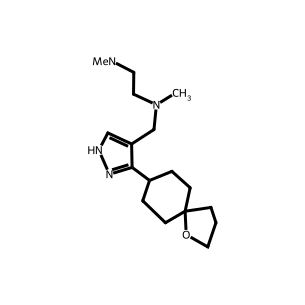 CNCCN(C)Cc1c[nH]nc1C1CCC2(CCCO2)CC1